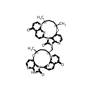 C[C@@H]1CC[C@@H](C)n2ccc(=O)c3ccc(nc32)-n2c(=O)n(C[C@@H]3CC[C@H](C)Oc4ccnc5[nH]c(=O)n(c45)-c4ccc5c(=O)ccn3c5n4)c3nccc(c32)O1